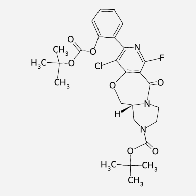 CC(C)(C)OC(=O)Oc1ccccc1-c1nc(F)c2c(c1Cl)OC[C@H]1CN(C(=O)OC(C)(C)C)CCN1C2=O